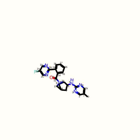 Cc1cnc(NC2CC3CC2N(C(=O)c2ccccc2-c2ncc(F)cn2)C3)nc1